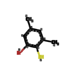 Cc1cc(C)c(S)c(Br)c1